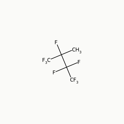 CC(F)(C(F)(F)F)C(F)(F)C(F)(F)F